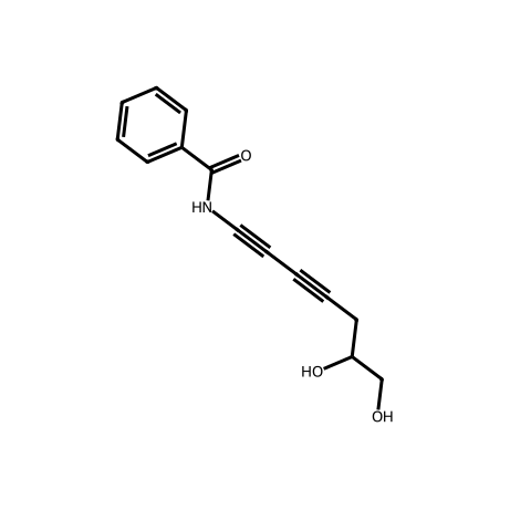 O=C(NC#CC#CCC(O)CO)c1ccccc1